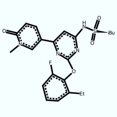 CCc1cccc(F)c1Oc1nc(NS(=O)(=O)[C@H](C)CC)cc(-c2ccc(=O)n(C)c2)n1